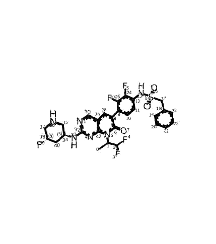 CC(C(F)F)n1c(=O)c(-c2ccc(NS(=O)(=O)Cc3ccccc3)c(F)c2F)cc2cnc(N[C@@H]3CNC[C@@H](F)C3)nc21